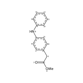 COC(=O)Cc1ccc(Nc2ccccc2)cc1